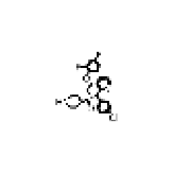 O=C(C1CCNCC1)N(CCOc1ccc(F)cc1F)[C@@H](c1ccc(Cl)cc1)c1ccccn1